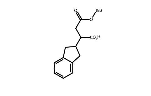 CC(C)(C)OC(=O)CC(C(=O)O)C1Cc2ccccc2C1